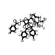 Cc1ccc(C(=O)OC[C@H]2O[C@@H](c3ncc(C)n3/N=C(/N)NC=S)[C@](C)(OC(=O)c3ccc(C)cc3)[C@@H]2OC(=O)c2ccc(C)cc2)cc1